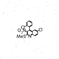 CSc1nc2ccc(Cl)cc2c(-c2ccccc2Cl)c1[N+](=O)[O-]